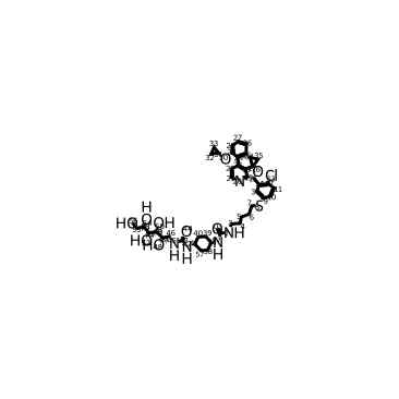 O=C(NCCCCCSc1ccc(Cl)c(COC2(c3cnccc3-c3ccccc3OC3CC3)CC2)c1)N[C@H]1CC[C@@H](NC(=O)NC[C@H](O)[C@@H](O)[C@H](O)[C@H](O)CO)CC1